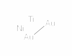 [Au][Au].[Ni].[Ti]